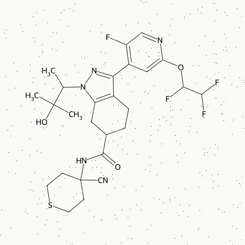 CC(n1nc(-c2cc(OC(F)C(F)F)ncc2F)c2c1CC(C(=O)NC1(C#N)CCSCC1)CC2)C(C)(C)O